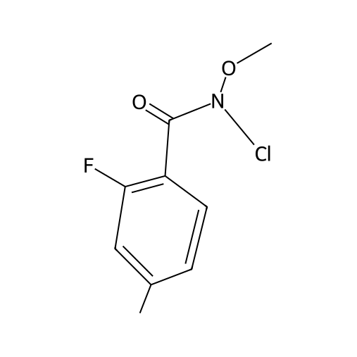 CON(Cl)C(=O)c1ccc(C)cc1F